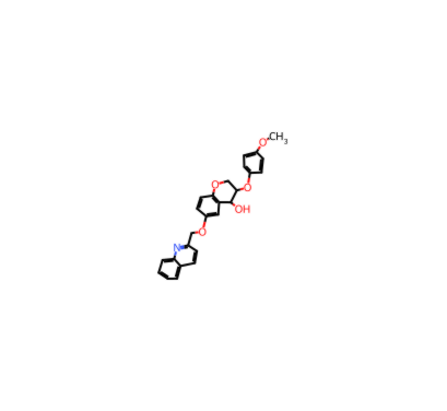 COc1ccc(OC2COc3ccc(OCc4ccc5ccccc5n4)cc3C2O)cc1